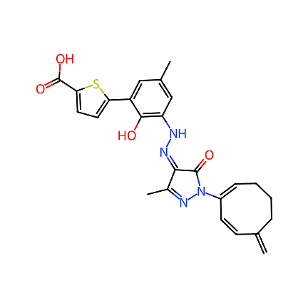 C=C1/C=C\C(N2N=C(C)/C(=N/Nc3cc(C)cc(-c4ccc(C(=O)O)s4)c3O)C2=O)=C/CCC1